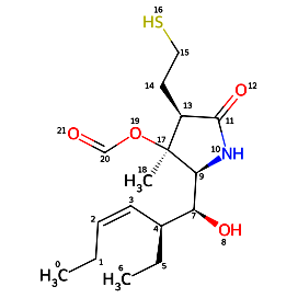 CC/C=C\[C@H](CC)[C@H](O)[C@@H]1NC(=O)[C@H](CCS)[C@]1(C)OC=O